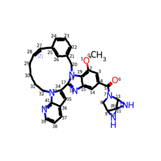 COc1cc(C(=O)N2CC3N[C@@]34NC24)cc2nc3n(c12)Cc1cccc(c1)/C=C\CCCCn1c-3cc2cccnc21